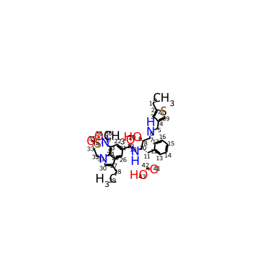 CCc1cc(CNC[C@@H](O)[C@H](Cc2ccccc2)NC(=O)c2cc3c4c(c2)c(CC)cn4CCS(=O)(=O)N3C)cs1.O=CO